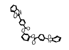 O=C(Oc1cccc(OC(=O)c2ccc(-c3nc4ccccc4o3)cc2)c1)c1ccc(-c2nc3ccccc3o2)cc1